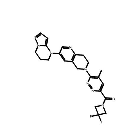 Cc1cc(C(=O)N2CC(F)(F)C2)nnc1N1CCc2ncc(N3CCCn4nccc43)cc2C1